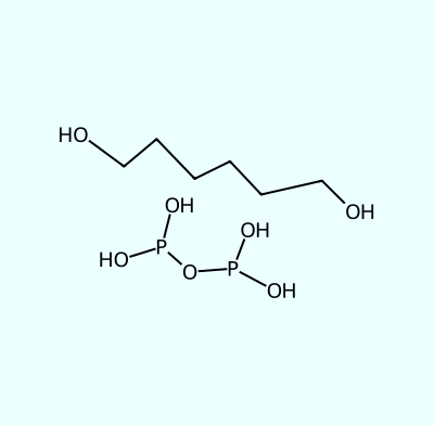 OCCCCCCO.OP(O)OP(O)O